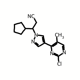 Cc1cnc(Cl)nc1-c1cnn(C(CC#N)C2CCCC2)c1